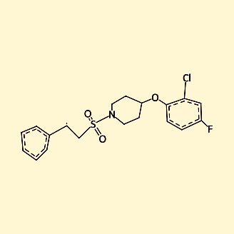 O=S(=O)(C[CH]c1ccccc1)N1CCC(Oc2ccc(F)cc2Cl)CC1